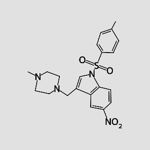 Cc1ccc(S(=O)(=O)n2cc(CN3CCN(C)CC3)c3cc([N+](=O)[O-])ccc32)cc1